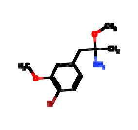 COc1cc(CC(C)(N)OC)ccc1Br